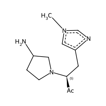 CC(=O)[C@H](Cc1cn(C)cn1)N1CCC(N)C1